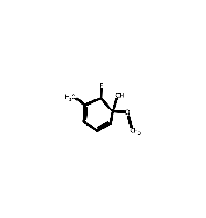 COC1(O)C=CC=C(C)C1F